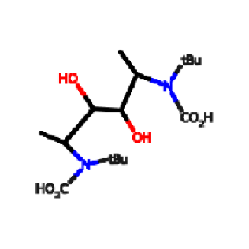 CC(C(O)C(O)C(C)N(C(=O)O)C(C)(C)C)N(C(=O)O)C(C)(C)C